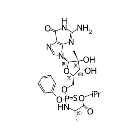 CC(C)OC(=O)[C@H](C)NP(=S)(OC[C@H]1O[C@@H](n2cnc3c(=O)[nH]c(N)nc32)[C@](C)(O)[C@@H]1O)Oc1ccccc1